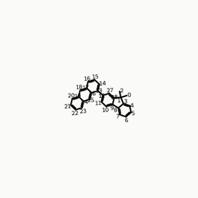 CC1(C)c2ccccc2-c2ccc(-c3cccc4cc5ccccc5cc34)cc21